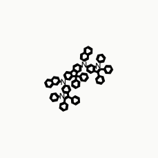 c1ccc(-c2c(-c3ccccc3)n(-c3ccccc3)c3cc(N(c4ccc5c(c4)C(c4ccccc4)(c4ccccc4)c4cc(N(c6ccc7ccccc7c6)c6ccc7c(-c8ccccc8)c(-c8ccccc8)n(-c8ccccc8)c7c6)ccc4-5)c4ccc5ccccc5c4)ccc23)cc1